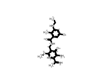 CCNc1cc(Cl)cc(C(=O)NCc2c(OC)[nH]c(C(C)=N)c(N)c2=O)c1C